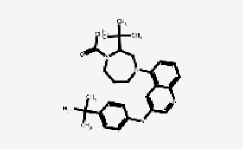 CC(C)(C)c1ccc(Sc2cnc3cccc(N4CCCN(C(=O)O)C(C(C)(C)C)C4)c3c2)cc1